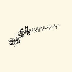 CCCCCCCCCCCCCCCCCC(=O)NCC1CCCN1C(=O)CCNC(=O)C1OC(C)(C)OCC1(C)C